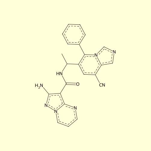 CC(NC(=O)c1c(N)nn2cccnc12)c1cc(C#N)c2cncn2c1-c1ccccc1